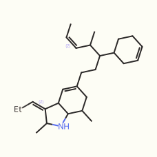 C/C=C\C(C)C(CCC1=CC2/C(=C/CC)C(C)NC2C(C)C1)C1CC=CCC1